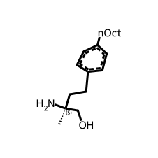 CCCCCCCCc1ccc(CC[C@](C)(N)CO)cc1